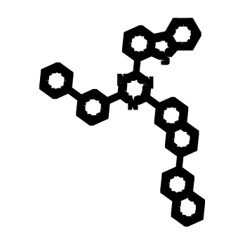 c1ccc(-c2cccc(-c3nc(-c4ccc5ccc(-c6ccc7ccccc7c6)cc5c4)nc(-c4cccc5c4sc4ccccc45)n3)c2)cc1